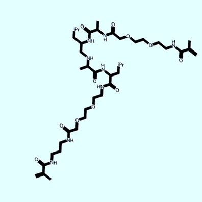 C=C(C)C(=O)NCCCNC(=O)COCCOCCNC(=O)C(CC(C)C)NC(=O)C(C)NCC(CC(C)C)NC(=O)C(C)NC(=O)COCCOCCNC(=O)C(=C)C